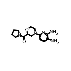 Nc1ccc(N2CCOC(C(=O)N3CCCC3)C2)nc1N